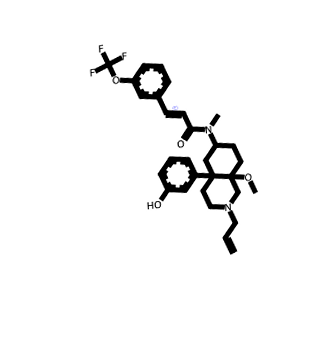 C=CCN1CCC2(c3cccc(O)c3)CC(N(C)C(=O)/C=C/c3cccc(OC(F)(F)F)c3)CCC2(OC)C1